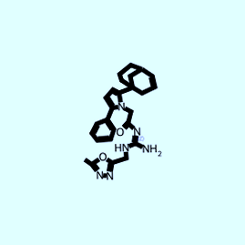 Cc1nnc(CN/C(N)=N\C(=O)Cn2c(-c3ccccc3)ccc2C23CC=CC(CCC2)C3)o1